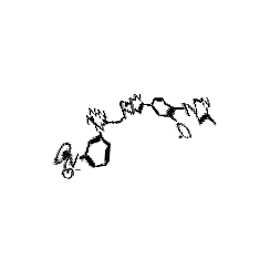 COc1cc(-c2cn(Cc3nnnn3-c3cccc([N+](=O)[O-])c3)nn2)ccc1-n1cnc(C)c1